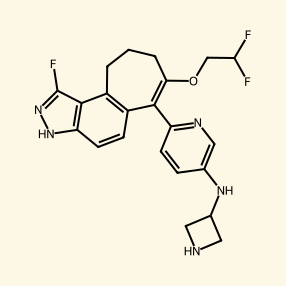 Fc1n[nH]c2ccc3c(c12)CCCC(OCC(F)F)=C3c1ccc(NC2CNC2)cn1